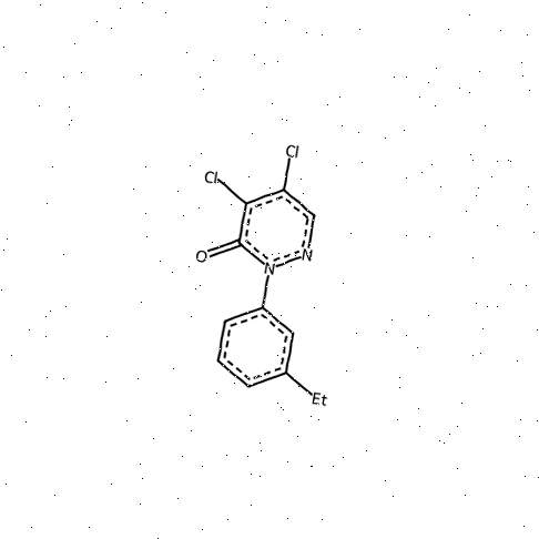 CCc1cccc(-n2ncc(Cl)c(Cl)c2=O)c1